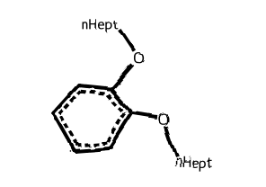 CCCCCCCOc1c[c]ccc1OCCCCCCC